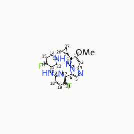 COc1cc2ncc(-c3nc(NC4CNCCC4F)ccc3F)n2nc1C1CC1